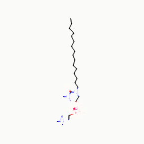 CCCCCCCCCCCCCCCCN(CCOP(=O)([O-])OCC[N+](C)(C)C)C(=O)N(C)C